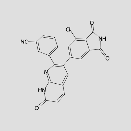 N#Cc1cccc(-c2nc3[nH]c(=O)ccc3cc2-c2cc(Cl)c3c(c2)C(=O)NC3=O)c1